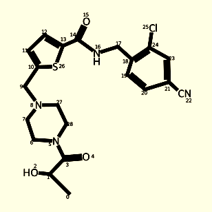 CC(O)C(=O)N1CCN(Cc2ccc(C(=O)NCc3ccc(C#N)cc3Cl)s2)CC1